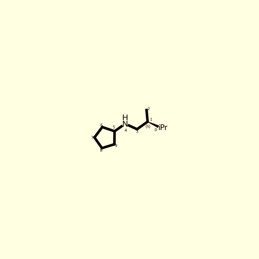 CC(C)[C@H](C)CNC1CCCC1